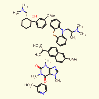 CC(CN1c2ccccc2Sc2ccccc21)N(C)C.COc1ccc2cc([C@H](C)C(=O)O)ccc2c1.COc1cccc([C@@]2(O)CCCC[C@@H]2CN(C)C)c1.Cn1c(=O)c2c(ncn2C)n(C)c1=O.O=C(O)c1cccnc1